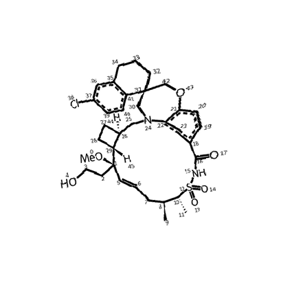 CO[C@]1(CCO)/C=C/C[C@H](C)[C@@H](C)S(=O)(=O)NC(=O)c2ccc3c(c2)N(C[C@@H]2CC[C@H]21)C[C@@]1(CCCc2cc(Cl)ccc21)CO3